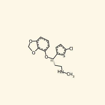 CNCC[C@H](Oc1cccc2c1OCO2)c1ccc(Cl)s1